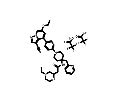 CCOc1cc(-c2ccc(N3CCC(Cc4ccccn4)(NC(=O)CC4CN(CC)CCO4)CC3)nc2)c2c(C#N)cnn2c1.O=C(O)C(F)(F)F.O=C(O)C(F)(F)F